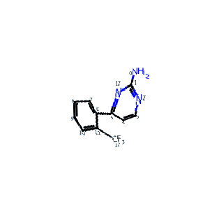 Nc1nccc(-c2ccccc2C(F)(F)F)n1